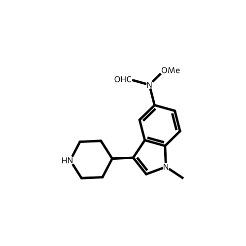 CON(C=O)c1ccc2c(c1)c(C1CCNCC1)cn2C